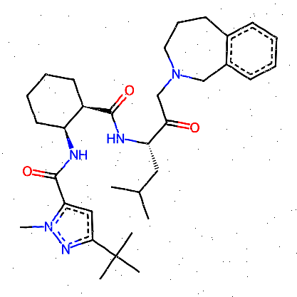 CC(C)C[C@H](NC(=O)[C@@H]1CCCC[C@@H]1NC(=O)c1cc(C(C)(C)C)nn1C)C(=O)CN1CCCc2ccccc2C1